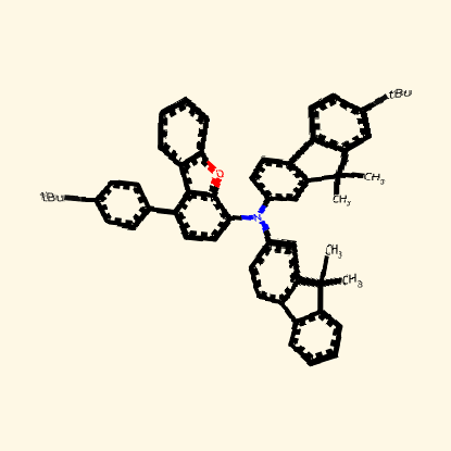 CC(C)(C)c1ccc(-c2ccc(N(c3ccc4c(c3)C(C)(C)c3ccccc3-4)c3ccc4c(c3)C(C)(C)c3cc(C(C)(C)C)ccc3-4)c3oc4ccccc4c23)cc1